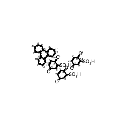 O=C1C=CC(=O)C(S(=O)(=O)O)=C1.O=C1C=CC(=O)C(S(=O)(=O)O)=C1.O=C1C=CC(=O)C(S(=O)(=O)O)=C1.c1ccc2c(c1)c1ccccc1c1ccccc21